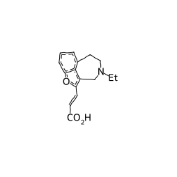 CCN1CCc2cccc3oc(C=CC(=O)O)c(c23)C1